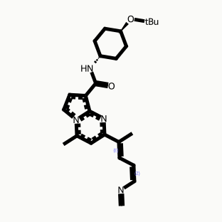 C=N/C=C\C=C(/C)c1cc(C)n2ccc(C(=O)N[C@H]3CC[C@H](OC(C)(C)C)CC3)c2n1